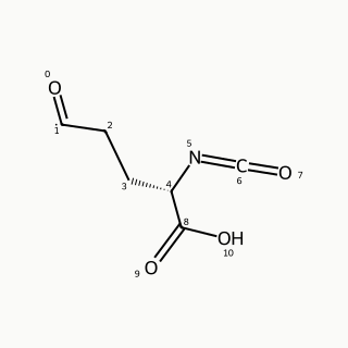 O=[C]CC[C@H](N=C=O)C(=O)O